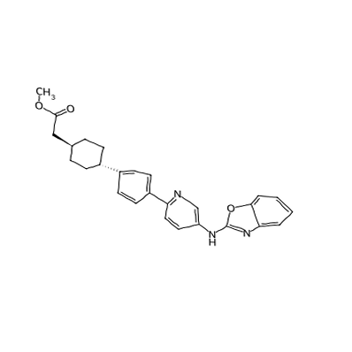 COC(=O)C[C@H]1CC[C@H](c2ccc(-c3ccc(Nc4nc5ccccc5o4)cn3)cc2)CC1